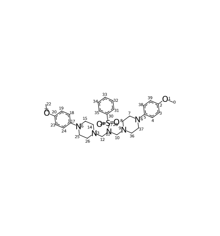 COc1ccc(N2CCN(CN(CN3CCN(c4ccc(OC)cc4)CC3)S(=O)(=O)c3ccccc3)CC2)cc1